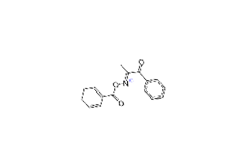 C/C(=N\OC(=O)C1=CCCC=C1)C(=O)c1ccccc1